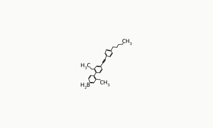 Bc1ccc(-c2ccc(C#Cc3ccc(CCCCC)cc3)cc2CC)c(CC)c1